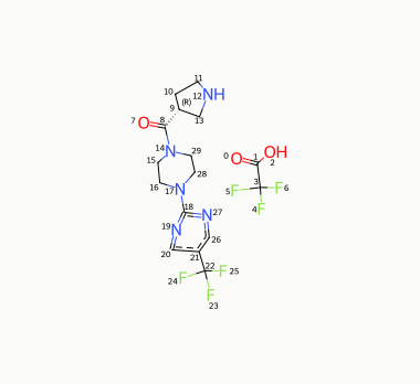 O=C(O)C(F)(F)F.O=C([C@@H]1CCNC1)N1CCN(c2ncc(C(F)(F)F)cn2)CC1